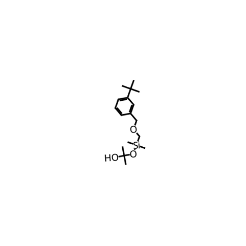 CC(C)(O)O[Si](C)(C)COCc1cccc(C(C)(C)C)c1